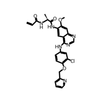 C=CC(=O)N[C@@H](C)C(=O)Nc1cc2c(Nc3ccc(OCc4ccccn4)c(Cl)c3)ncnc2cc1OC